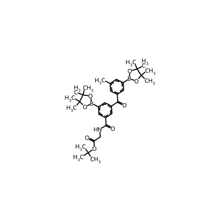 Cc1cc(B2OC(C)(C)C(C)(C)O2)cc(C(=O)c2cc(B3OC(C)(C)C(C)(C)O3)cc(C(=O)NCC(=O)OC(C)(C)C)c2)c1